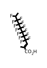 C/C(=C\C(F)(F)C(F)(F)C(F)(F)C(F)(F)C(F)(F)C(F)(F)C(C)F)C(=O)O